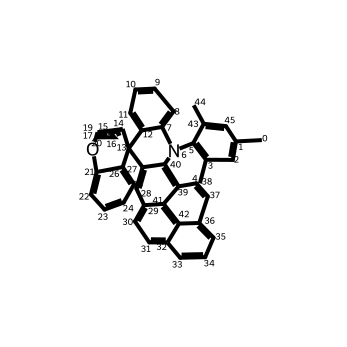 Cc1cc(C)c(N2c3ccccc3C3(c4ccccc4Oc4ccccc43)c3cc4ccc5cccc6ccc(c32)c4c56)c(C)c1